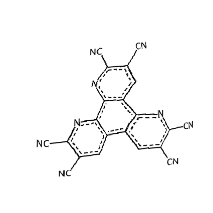 N#Cc1cc2c3cc(C#N)c(C#N)nc3c3nc(C#N)c(C#N)cc3c2nc1C#N